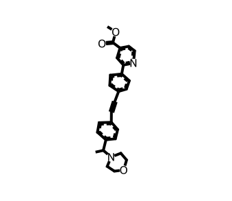 COC(=O)c1ccnc(-c2ccc(C#Cc3ccc(C(C)N4CCOCC4)cc3)cc2)c1